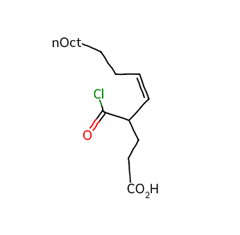 CCCCCCCCCC/C=C\C(CCC(=O)O)C(=O)Cl